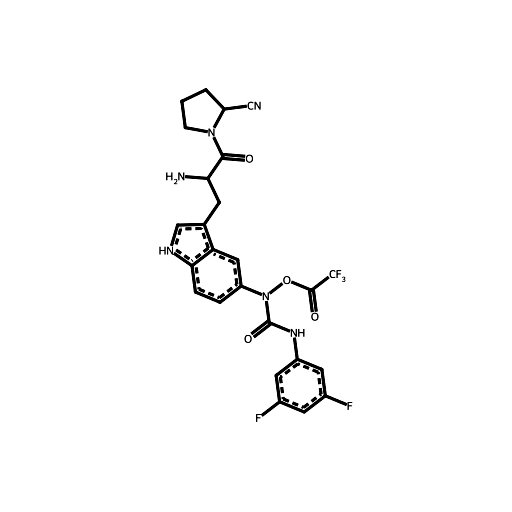 N#CC1CCCN1C(=O)C(N)Cc1c[nH]c2ccc(N(OC(=O)C(F)(F)F)C(=O)Nc3cc(F)cc(F)c3)cc12